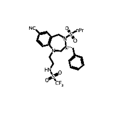 CCCS(=O)(=O)N1Cc2cc(C#N)ccc2N(CCNS(=O)(=O)C(F)(F)F)C[C@H]1Cc1ccccc1